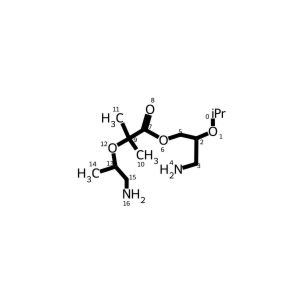 CC(C)OC(CN)COC(=O)C(C)(C)OC(C)CN